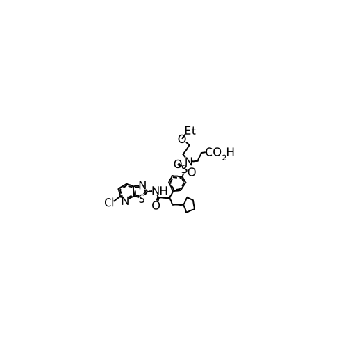 CCOCCN(CCC(=O)O)S(=O)(=O)c1ccc(C(CC2CCCC2)C(=O)Nc2nc3ccc(Cl)nc3s2)cc1